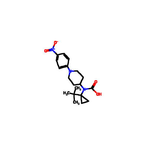 CC(C)(C)C1(N(C(=O)O)C2CCN(c3ccc([N+](=O)[O-])cc3)CC2)CC1